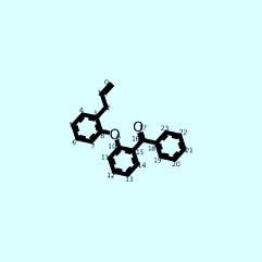 C=CCc1ccccc1Oc1ccccc1C(=O)c1ccccc1